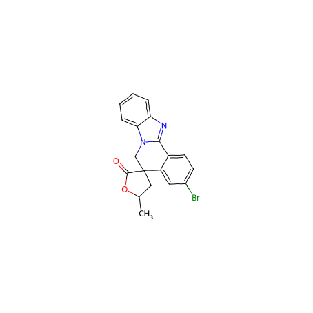 CC1CC2(Cn3c(nc4ccccc43)-c3ccc(Br)cc32)C(=O)O1